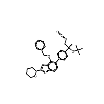 CC(C)(C)OC(C)(CN=C=O)c1ccc(-c2ccc3nn(C4CCCCO4)cc3c2OCc2ccccc2)cc1